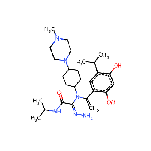 C=C(c1cc(C(C)C)c(O)cc1O)N(/C(=N\N)C(=O)NC(C)C)C1CCC(N2CCN(C)CC2)CC1